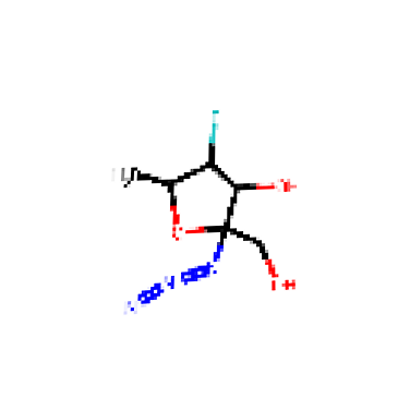 BC1OC(CO)(N=[N+]=[N-])C(O)C1F